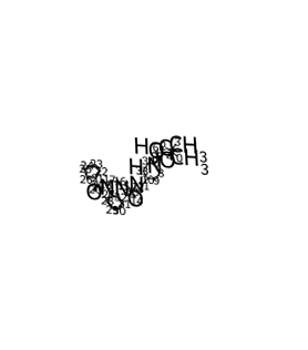 CC(C)(C)OC(=O)N1CCC(CNC(=O)N2CCN(C(=O)c3ccccc3)c3ccccc32)CC1